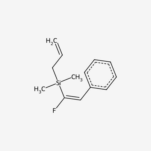 C=CC[Si](C)(C)C(F)=Cc1ccccc1